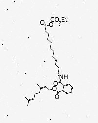 CCOC(=O)OC(=O)CCCCCCCCCCCNC(=O)c1ccccc1C(=O)OCC=C(C)CCC=C(C)C